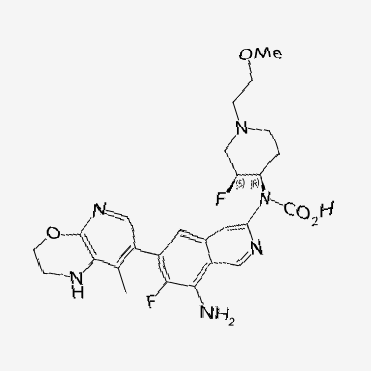 COCCN1CC[C@@H](N(C(=O)O)c2cc3cc(-c4cnc5c(c4C)NCCO5)c(F)c(N)c3cn2)[C@@H](F)C1